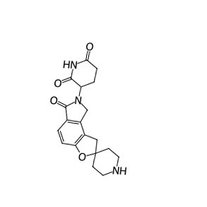 O=C1CCC(N2Cc3c(ccc4c3CC3(CCNCC3)O4)C2=O)C(=O)N1